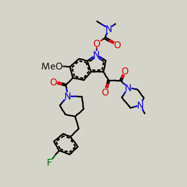 COc1cc2c(cc1C(=O)N1CCC(Cc3ccc(F)cc3)CC1)c(C(=O)C(=O)N1CCN(C)CC1)cn2OC(=O)N(C)C